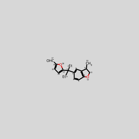 CCC(CC)(c1ccc2c(c1)C(C)CO2)c1ccc(C=O)o1